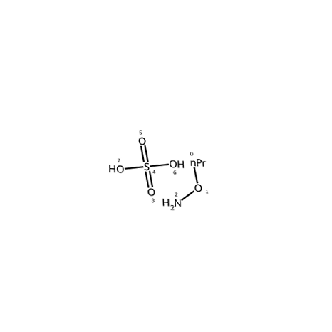 CCCON.O=S(=O)(O)O